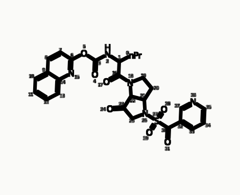 CCCC(NC(=O)Oc1ccc2ccccc2n1)C(=O)N1CCC2C1C(=O)CN2S(=O)(=O)C(=O)c1cccnc1